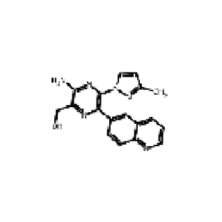 Cc1ccn(-c2nc(N)c(CO)nc2-c2ccc3ncccc3c2)n1